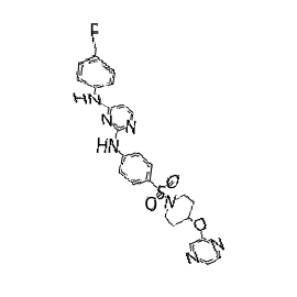 O=S(=O)(c1ccc(Nc2nccc(Nc3ccc(F)cc3)n2)cc1)N1CCC(Oc2cnccn2)CC1